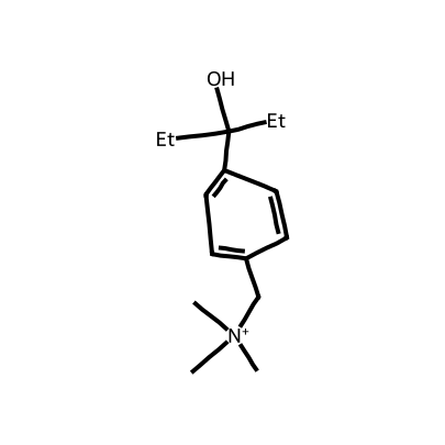 CCC(O)(CC)c1ccc(C[N+](C)(C)C)cc1